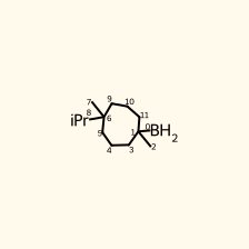 BC1(C)CCCC(C)(C(C)C)CCC1